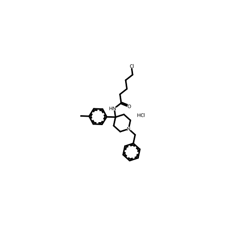 Cc1ccc(C2(NC(=O)CCCCCl)CCN(Cc3ccccc3)CC2)cc1.Cl